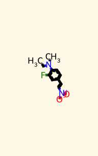 CCN(CC)c1ccc(C=C[N+](=O)[O-])cc1F